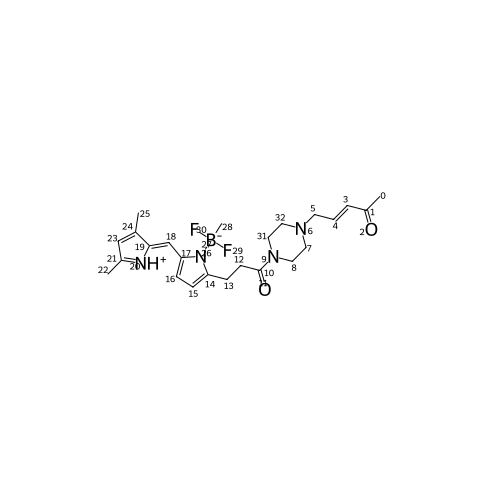 CC(=O)/C=C/CN1CCN(C(=O)CCc2ccc(/C=C3\[NH+]=C(C)C=C3C)n2[B-](C)(F)F)CC1